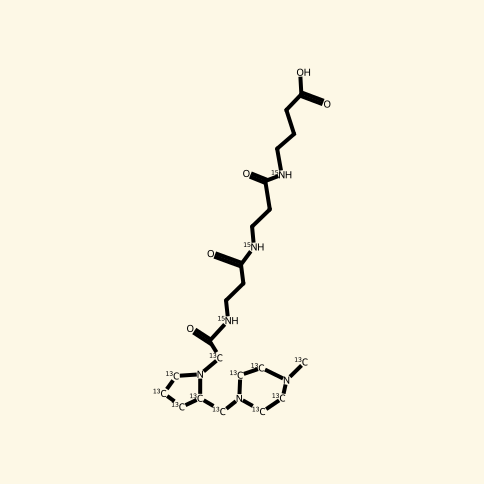 [13CH3]N1[13CH2][13CH2]N([13CH2][13CH]2[13CH2][13CH2][13CH2]N2[13CH2]C(=O)[15NH]CCC(=O)[15NH]CCC(=O)[15NH]CCCC(=O)O)[13CH2][13CH2]1